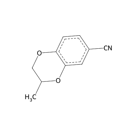 CC1COc2ccc(C#N)cc2O1